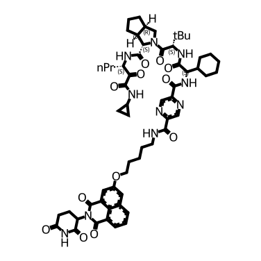 CCC[C@H](NC(=O)[C@@H]1[C@H]2CCC[C@H]2CN1C(=O)[C@@H](NC(=O)[C@@H](NC(=O)c1cnc(C(=O)NCCCCCOc2cc3c4c(cccc4c2)C(=O)N(C2CCC(=O)NC2=O)C3=O)cn1)C1CCCCC1)C(C)(C)C)C(=O)C(=O)NC1CC1